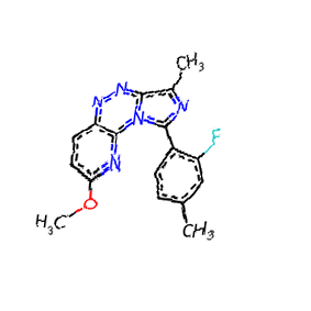 COc1ccc2nnc3c(C)nc(-c4ccc(C)cc4F)n3c2n1